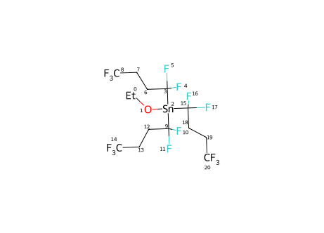 CC[O][Sn]([C](F)(F)CCC(F)(F)F)([C](F)(F)CCC(F)(F)F)[C](F)(F)CCC(F)(F)F